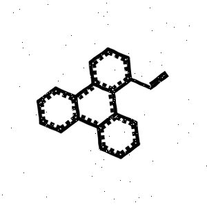 C=Cc1cccc2c3ccccc3c3ccccc3c12